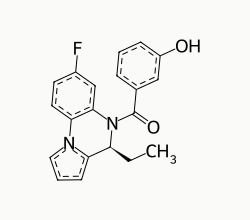 CC[C@H]1c2cccn2-c2ccc(F)cc2N1C(=O)c1cccc(O)c1